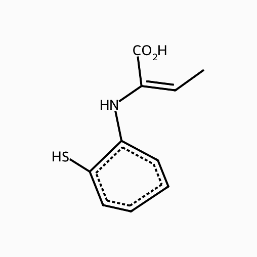 CC=C(Nc1ccccc1S)C(=O)O